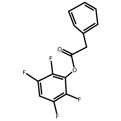 O=C(Cc1ccccc1)Oc1c(F)c(F)cc(F)c1F